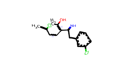 C=C(Cl)/C=C\C(C(=N)Cc1cccc(Cl)c1)=C(/C)O